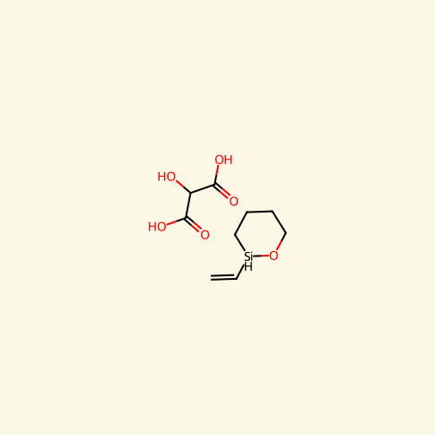 C=C[SiH]1CCCCO1.O=C(O)C(O)C(=O)O